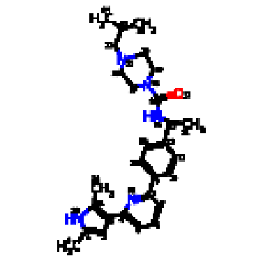 Cc1cc(-c2cccc(-c3ccc(C(C)NC(=O)N4CCN(CC(C)C)CC4)cc3)n2)c(C)[nH]1